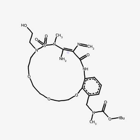 C=N/C1=C(/N)N(C)S(=O)(=O)N(CCO)CCOCCOCCOc2c(CN(C)C(=O)OC(C)(C)C)cccc2NC1=O